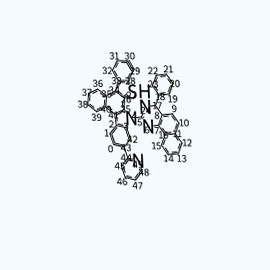 C1=C=c2c(n(C3=Nc4c(ccc5ccccc45)C(c4ccccc4)N3)c3c4sc5c#cccc5c4c4ccccc4c23)=CC=1c1ccccn1